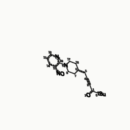 CC(C)(C)C(=O)C#CC=C1CCN(c2ncccc2N=O)CC1